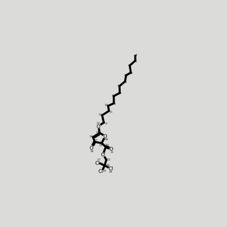 CCCCCCCCCCCCCCOC1=CC(=O)C(C(=O)OCC(Cl)(Cl)Cl)O1